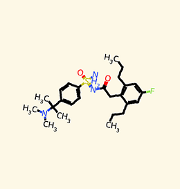 CCCc1cc(F)cc(CCC)c1CC(=O)N=S(N)(=O)c1ccc(C(C)(C)N(C)C)cc1